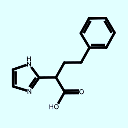 O=C(O)C(CCc1ccccc1)c1ncc[nH]1